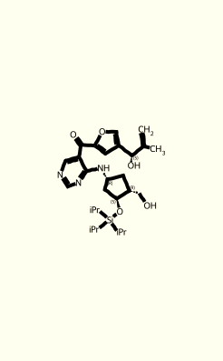 C=C(C)[C@H](O)c1coc(C(=O)c2cncnc2N[C@@H]2C[C@H](CO)[C@@H](O[Si](C(C)C)(C(C)C)C(C)C)C2)c1